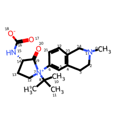 CN1CCc2cc([N+]3(C(C)(C)C)CC[C@H](NC(=O)[O-])C3=O)ccc2C1